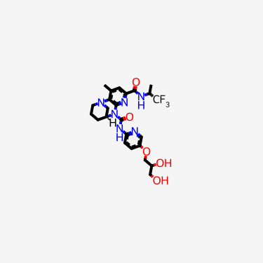 Cc1cc(C(=O)NC(C)C(F)(F)F)nc2c1N1CCC[C@@H](C1)N2C(=O)Nc1ccc(OCC(O)CO)cn1